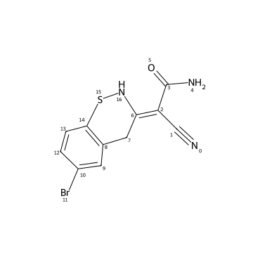 N#CC(C(N)=O)=C1Cc2cc(Br)ccc2SN1